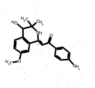 COc1ccc2c(c1)/C(=C/C(=O)c1ccc(N)cc1)NC(C)(C)C2O